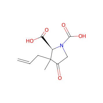 C=CCC1(C)C(=O)CN(C(=O)O)[C@@H]1C(=O)O